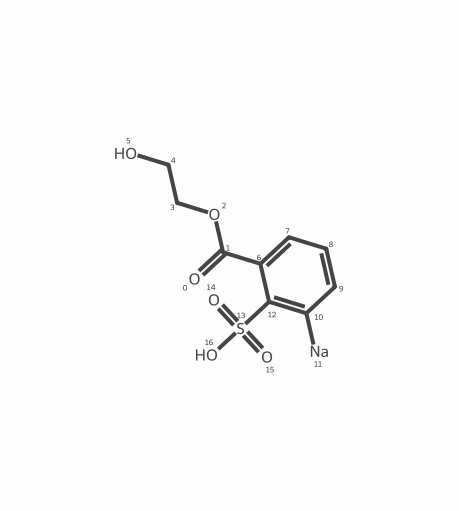 O=C(OCCO)c1ccc[c]([Na])c1S(=O)(=O)O